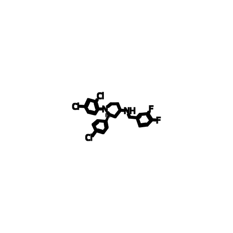 Fc1ccc(CNC2CCN(c3ccc(Cl)cc3Cl)[C@H](c3ccc(Cl)cc3)C2)cc1F